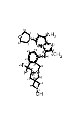 Cc1nc2c(N)cc(N3CCOCC3)nn2c1Nc1cccc(C(F)(F)F)c1CN1CCC2(C1)CP(O)C2